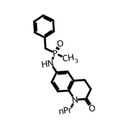 CCCN1C(=O)CCc2cc(NP(C)(=O)Cc3ccccc3)ccc21